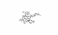 CC(C)Cn1c(=O)c(C(N)=O)c(O)c2c(-c3cccc(F)c3)cc(N3CCN(C)CC3)cc21